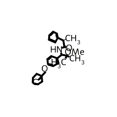 COC(C)(C)C(NC(=O)[C@@H](C)c1ccccc1)c1ccc(OCC23CCC(CC2)CC3)cc1